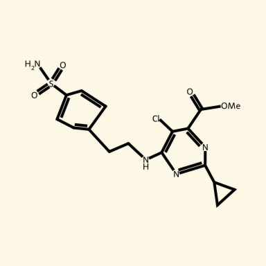 COC(=O)c1nc(C2CC2)nc(NCCc2ccc(S(N)(=O)=O)cc2)c1Cl